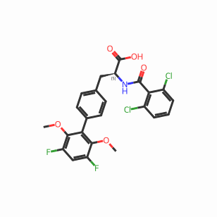 COc1c(F)cc(F)c(OC)c1-c1ccc(C[C@H](NC(=O)c2c(Cl)cccc2Cl)C(=O)O)cc1